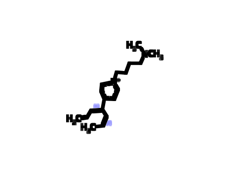 C=C/C=C(\C=C/C)c1cc[n+](CCCCN(C)C)cc1